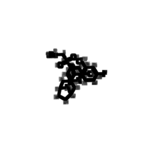 CC(C)(C)CS(=O)(=O)c1cc(Cl)nc(N2C3CCC2CN(C(=O)c2ccc(F)cc2Cl)C3)c1